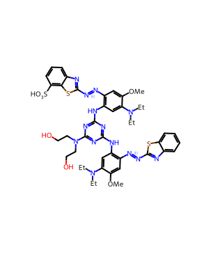 CCN(CC)c1cc(Nc2nc(Nc3cc(N(CC)CC)c(OC)cc3/N=N/c3nc4cccc(S(=O)(=O)O)c4s3)nc(N(CCO)CCO)n2)c(/N=N/c2nc3ccccc3s2)cc1OC